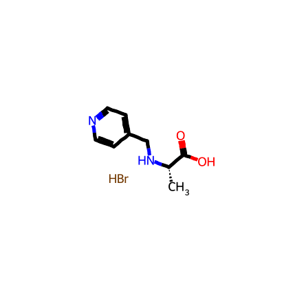 Br.C[C@H](NCc1ccncc1)C(=O)O